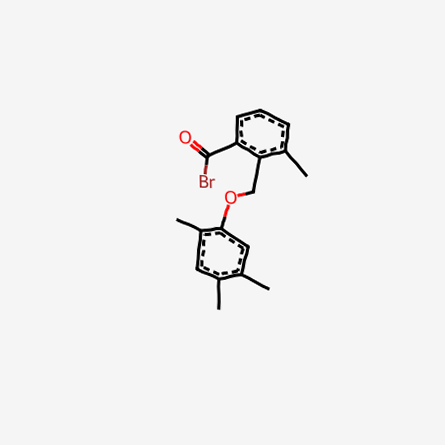 Cc1cc(C)c(OCc2c(C)cccc2C(=O)Br)cc1C